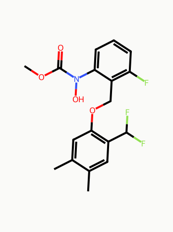 COC(=O)N(O)c1cccc(F)c1COc1cc(C)c(C)cc1C(F)F